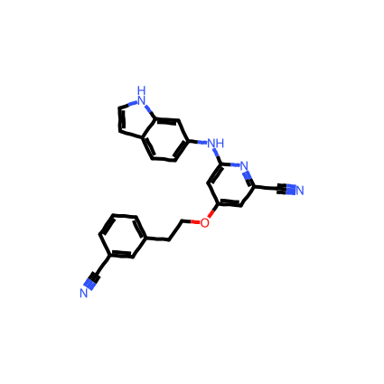 N#Cc1cccc(CCOc2cc(C#N)nc(Nc3ccc4cc[nH]c4c3)c2)c1